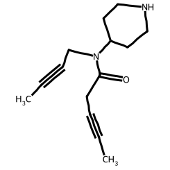 CC#CCC(=O)N(CC#CC)C1CCNCC1